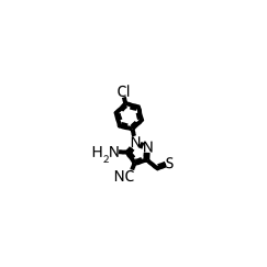 N#Cc1c(C=S)nn(-c2ccc(Cl)cc2)c1N